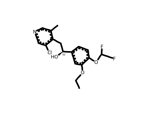 CCOc1cc([C@@H](O)Cc2c(C)cncc2Cl)ccc1OC(F)F